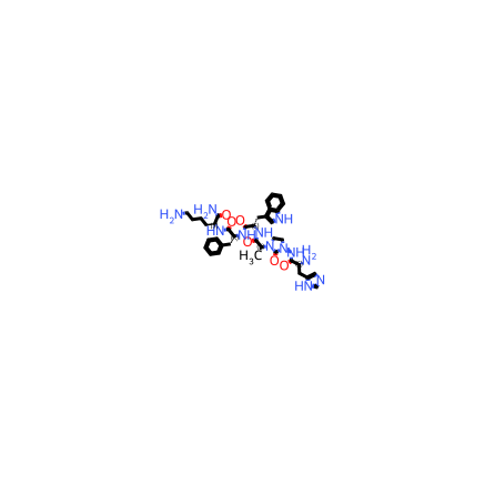 C[C@@H](C(=O)N[C@@H](Cc1c[nH]c2ccccc12)C(=O)N[C@H](Cc1ccccc1)C(=O)N[C@@H](CCCCN)C(N)=O)N1CCN(NC(=O)[C@@H](N)Cc2cnc[nH]2)C1=O